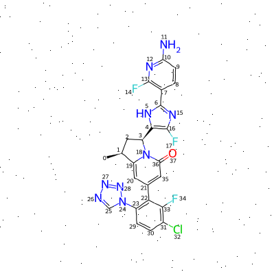 C[C@H]1C[C@@H](c2[nH]c(-c3ccc(N)nc3F)nc2F)n2c1cc(-c1c(-n3cnnn3)ccc(Cl)c1F)cc2=O